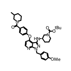 COc1ccc(Cn2nc(N[C@@H]3CCCN(C(=O)OC(C)(C)C)C3)c3c(Oc4ccc(C(=O)N5CCCC(C)C5)cc4)ccnc32)cc1